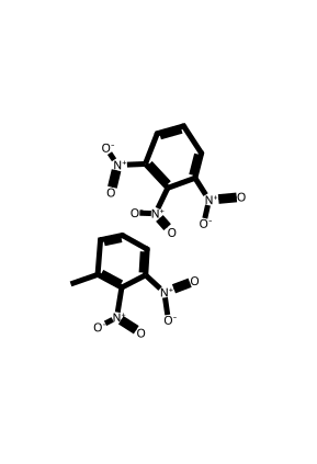 Cc1cccc([N+](=O)[O-])c1[N+](=O)[O-].O=[N+]([O-])c1cccc([N+](=O)[O-])c1[N+](=O)[O-]